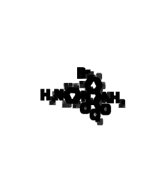 COC(=O)c1c(N)c2ccc(Br)cc2n(-c2ccc(N)cc2)c1=O